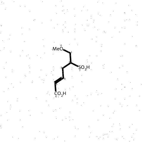 COCC(CC=CC(=O)O)S(=O)(=O)O